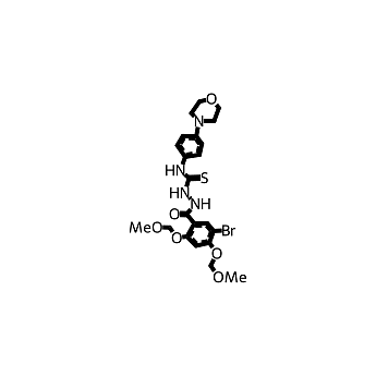 COCOc1cc(OCOC)c(C(=O)NNC(=S)Nc2ccc(N3CCOCC3)cc2)cc1Br